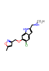 Cc1cc(COc2cc3[nH]c(CNC(=O)O)cc3cc2Cl)no1